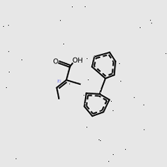 C/C=C(\C)C(=O)O.c1ccc(-c2ccccc2)cc1